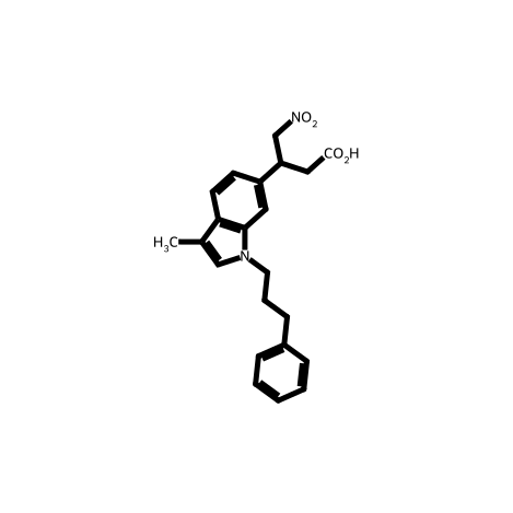 Cc1cn(CCCc2ccccc2)c2cc(C(CC(=O)O)C[N+](=O)[O-])ccc12